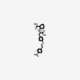 COC(=O)c1ccccc1NC(Cc1ccc(OCCc2ccc(N(C)C)cc2)cc1)C(=O)OC